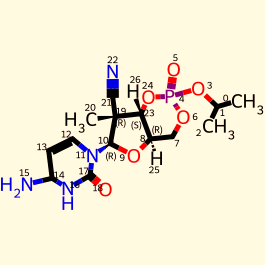 CC(C)OP1(=O)OC[C@H]2O[C@@H](N3C=CC(N)NC3=O)[C@](C)(C#N)[C@@H]2O1